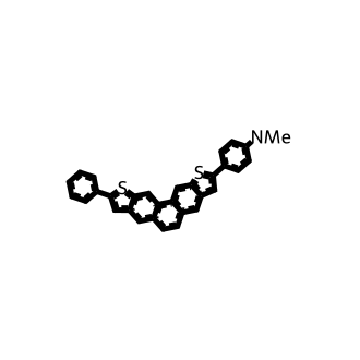 CNc1ccc(-c2cc3cc4ccc5cc6cc(-c7ccccc7)sc6cc5c4cc3s2)cc1